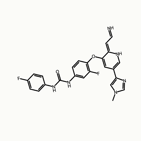 Cn1cnc(C2=CN/C(=C\C=N)C(Oc3ccc(NC(=O)Nc4ccc(F)cc4)cc3F)=C2)c1